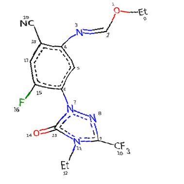 CCOC=Nc1cc(-n2nc(C(F)(F)F)n(CC)c2=O)c(F)cc1C#N